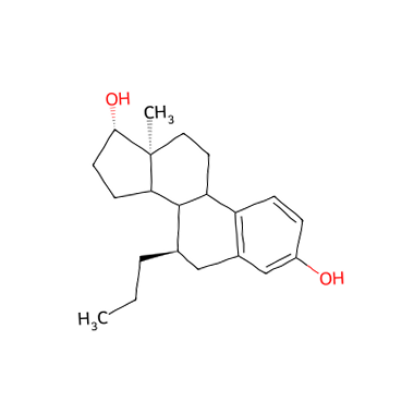 CCC[C@@H]1Cc2cc(O)ccc2C2CC[C@@]3(C)C(CC[C@@H]3O)C21